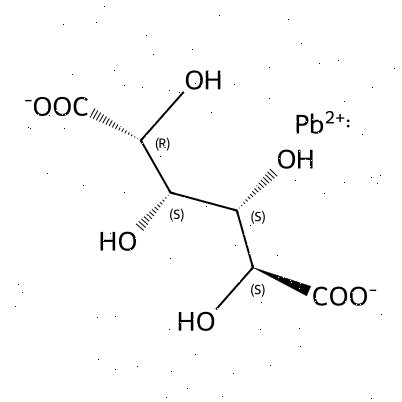 O=C([O-])[C@@H](O)[C@@H](O)[C@H](O)[C@@H](O)C(=O)[O-].[Pb+2]